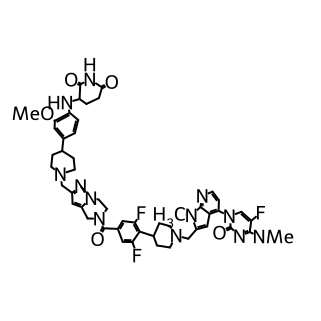 CNc1nc(=O)n(-c2ccnc3c2cc(CN2CCC(c4c(F)cc(C(=O)N5CCn6nc(CN7CCC(c8ccc(NC9CCC(=O)NC9=O)c(OC)c8)CC7)cc6C5)cc4F)CC2)n3C)cc1F